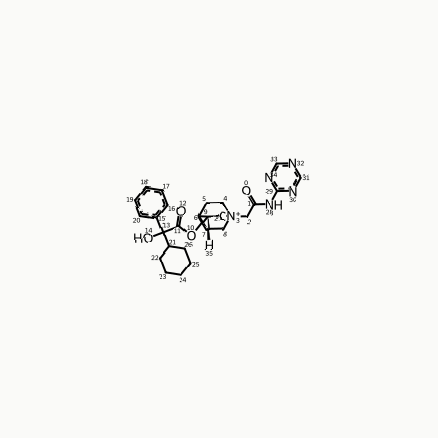 O=C(C[N+]12CCC(CC1)[C@@H](OC(=O)C(O)(c1ccccc1)C1CCCCC1)C2)Nc1ncncn1